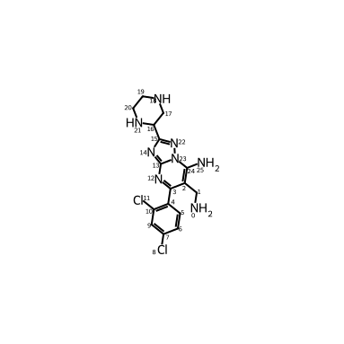 NCc1c(-c2ccc(Cl)cc2Cl)nc2nc(C3CNCCN3)nn2c1N